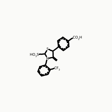 C=C1C(c2ccc(C(=O)O)cc2)SC(S(=O)(=O)O)N1c1ccccc1C(F)(F)F